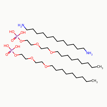 CCCCCCCCCOCCOCCOP(=O)(O)O.CCCCCCCCCOCCOCCOP(=O)(O)O.NCCCCCCCCCCCCN